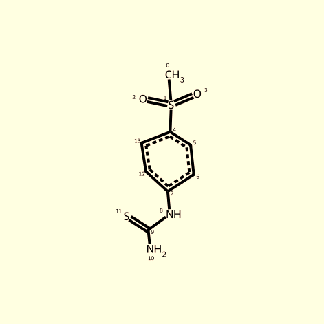 CS(=O)(=O)c1ccc(NC(N)=S)cc1